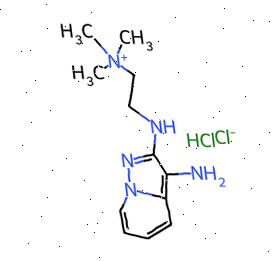 C[N+](C)(C)CCNc1nn2ccccc2c1N.Cl.[Cl-]